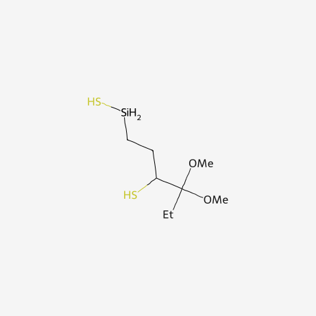 CCC(OC)(OC)C(S)CC[SiH2]S